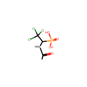 CC(=O)[AsH]C(C(Cl)(Cl)Cl)P(=O)(O)O